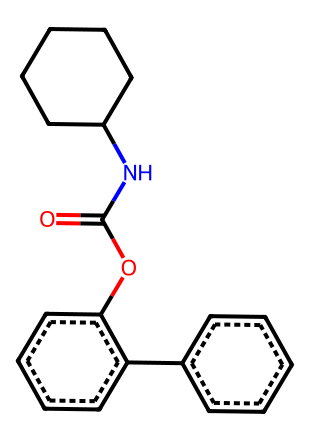 O=C(NC1CCCCC1)Oc1ccccc1-c1ccccc1